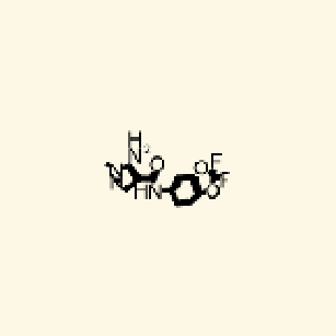 Cn1ncc(C(=O)Nc2ccc3c(c2)OC(F)(F)O3)c1N